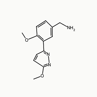 COc1ccc(-c2cc(CN)ccc2OC)nn1